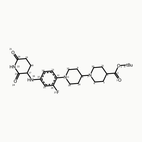 CC(C)(C)OC(=O)C1CCN(C2CCN(c3ccc(NC4CCC(=O)NC4=O)cc3F)CC2)CC1